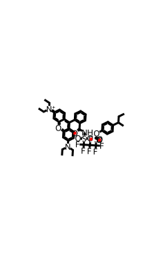 CCC(C)c1ccc(OS(=O)(=O)C(F)(F)C(F)(F)C(F)(F)S(=O)(=O)NC(=O)c2ccccc2-c2c3ccc(=[N+](CC)CC)cc-3oc3cc(N(CC)CC)ccc23)cc1